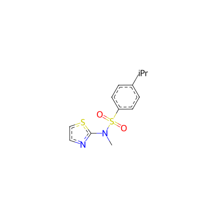 CC(C)c1ccc(S(=O)(=O)N(C)c2nccs2)cc1